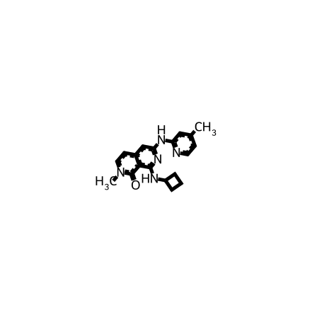 Cc1ccnc(Nc2cc3ccn(C)c(=O)c3c(NC3CCC3)n2)c1